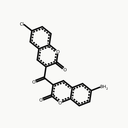 Bc1ccc2oc(=O)c(C(=O)c3cc4cc(Cl)ccc4oc3=O)cc2c1